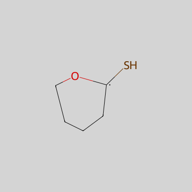 S[C]1CCCCO1